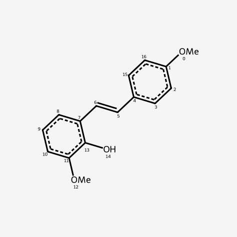 COc1ccc(C=Cc2cccc(OC)c2O)cc1